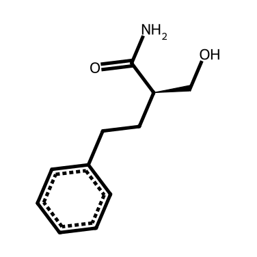 NC(=O)[C@@H](CO)CCc1ccccc1